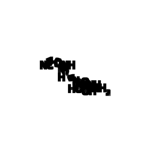 CC(C)N(C[C@H]1O[C@@H](NCN)[C@H](O)[C@@H]1O)[C@H]1C[C@@H](CCC2Nc3ccc(C4(C#N)CC4)cc3N2)C1